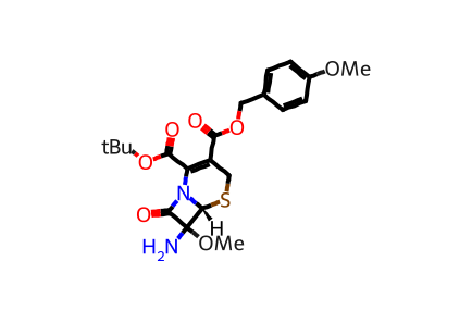 COc1ccc(COC(=O)C2=C(C(=O)OC(C)(C)C)N3C(=O)C(N)(OC)[C@H]3SC2)cc1